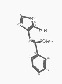 COC(=Nc1nc[nH]c1C#N)c1ccccc1